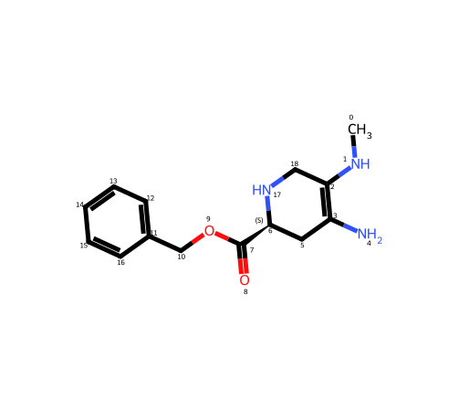 CNC1=C(N)C[C@@H](C(=O)OCc2ccccc2)NC1